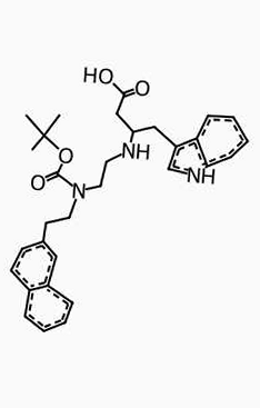 CC(C)(C)OC(=O)N(CCNC(CC(=O)O)Cc1c[nH]c2ccccc12)CCc1ccc2ccccc2c1